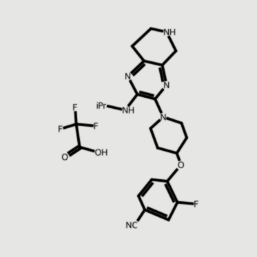 CC(C)Nc1nc2c(nc1N1CCC(Oc3ccc(C#N)cc3F)CC1)CNCC2.O=C(O)C(F)(F)F